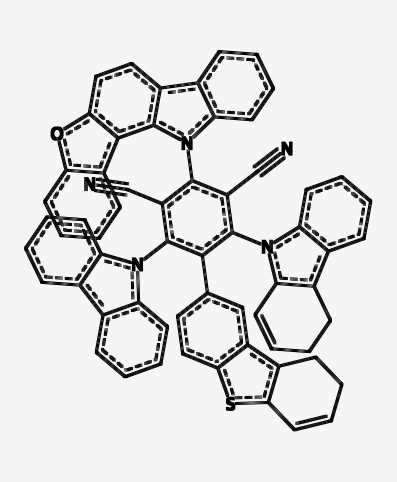 N#Cc1c(-n2c3c(c4ccccc42)CCC=C3)c(-c2ccc3sc4c(c3c2)CCC=C4)c(-n2c3ccccc3c3ccccc32)c(C#N)c1-n1c2ccccc2c2ccc3oc4ccccc4c3c21